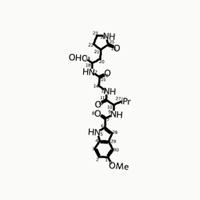 COc1ccc2[nH]c(C(=O)NC(C(=O)NCC(=O)NC(C=O)CC3CCNC3=O)C(C)C)cc2c1